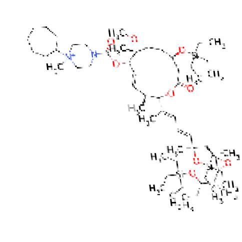 CC[C@H](O[Si](CC)(CC)CC)[C@@H](C)[C@H]1O[C@@H]1C[C@](C)(/C=C/C=C(\C)[C@H]1OC(=O)C[C@H](O[Si](CC)(CC)CC)CC[C@@](C)(OC)[C@@H](OC(=O)N2CC[N+](C)(C3CCCCCC3)CC2)/C=C/[C@@H]1C)O[Si](CC)(CC)CC